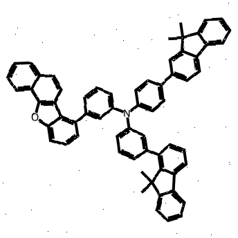 CC1(C)c2ccccc2-c2ccc(-c3ccc(N(c4cccc(-c5cccc6c5C(C)(C)c5ccccc5-6)c4)c4cccc(-c5cccc6oc7c8ccccc8ccc7c56)c4)cc3)cc21